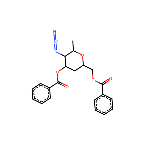 CC1OC(COC(=O)c2ccccc2)CC(OC(=O)c2ccccc2)C1N=[N+]=[N-]